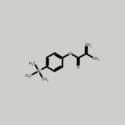 C=C(C)C(=O)Oc1ccc([N+](C)(C)C)cc1